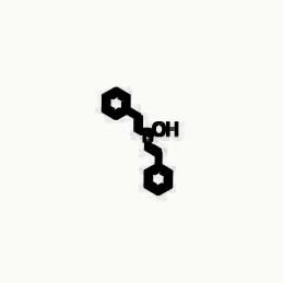 OB(C=Cc1ccccc1)C=Cc1ccccc1